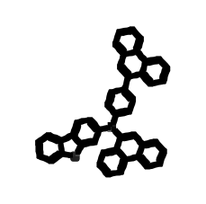 c1ccc2c(c1)cc(-c1ccc(N(c3ccc4c(c3)oc3ccccc34)c3cc4ccccc4c4ccccc34)cc1)c1ccccc12